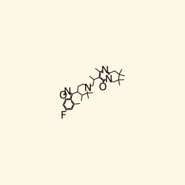 Cc1nc2n(c(=O)c1C(C)CN1CCC(c3noc4cc(F)cc(C)c34)C(C)C1(C)C)CC(C)(C)C(C)(C)C2